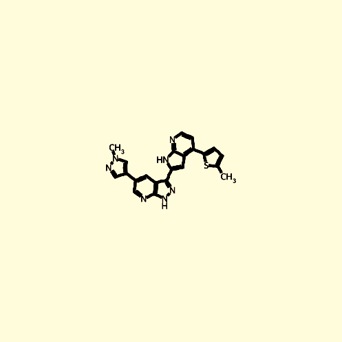 Cc1ccc(-c2ccnc3[nH]c(-c4n[nH]c5ncc(-c6cnn(C)c6)cc45)cc23)s1